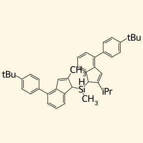 CC1=Cc2c(-c3ccc(C(C)(C)C)cc3)cccc2C1[SiH](C)C1C(C(C)C)=Cc2c(-c3ccc(C(C)(C)C)cc3)cccc21